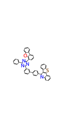 c1ccc(-c2nc(-c3cccc(-c4ccc(-c5nc6ccccc6c6sc7ccccc7c56)cc4)c3)nc(-c3cccc4c3oc3ccccc34)n2)cc1